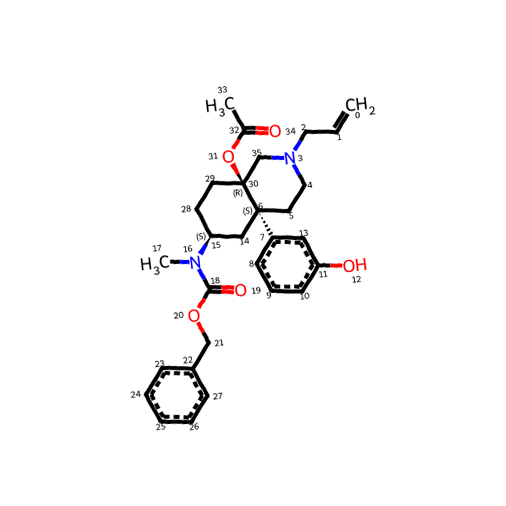 C=CCN1CC[C@@]2(c3cccc(O)c3)C[C@@H](N(C)C(=O)OCc3ccccc3)CC[C@]2(OC(C)=O)C1